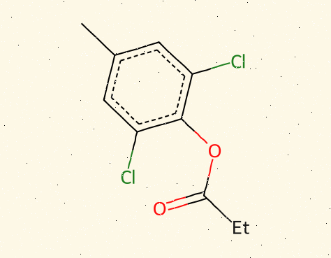 CCC(=O)Oc1c(Cl)cc(C)cc1Cl